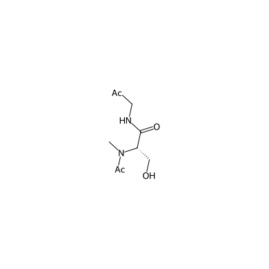 CC(=O)CNC(=O)[C@H](CO)N(C)C(C)=O